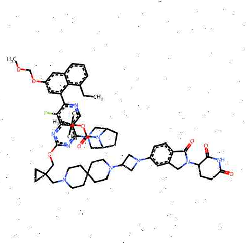 CCc1cccc2cc(OCOC)cc(-c3ncc4c(N5CC6CCC(C5)N6C(=O)OC(C)(C)C)nc(OCC5(CN6CCC7(CC6)CCN(C6CN(c8ccc9c(c8)CN(C8CCC(=O)NC8=O)C9=O)C6)CC7)CC5)nc4c3F)c12